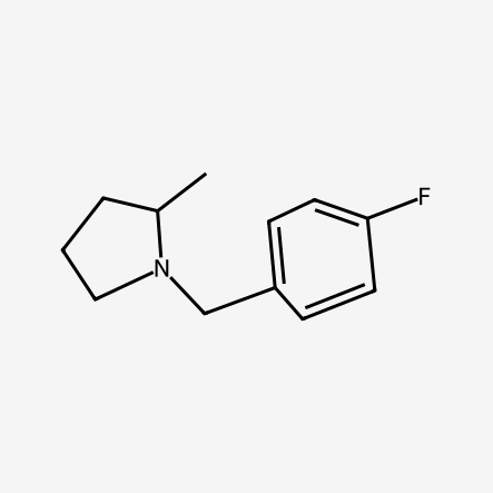 CC1CCCN1Cc1ccc(F)cc1